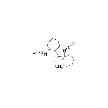 CCC(C1CCCCC1N=C=O)C1(N=C=O)CCCCC1